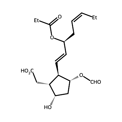 CC/C=C\C[C@@H](/C=C/[C@@H]1[C@@H](CC(=O)O)[C@@H](O)C[C@H]1OC=O)OC(=O)CC